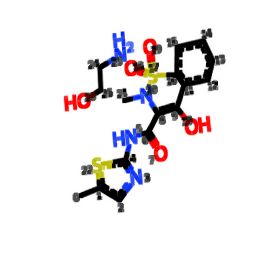 Cc1cnc(NC(=O)C2=C(O)c3ccccc3S(=O)(=O)N2C)s1.NCCO